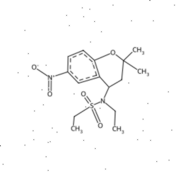 CCN(C1CC(C)(C)Oc2ccc([N+](=O)[O-])cc21)S(=O)(=O)CC